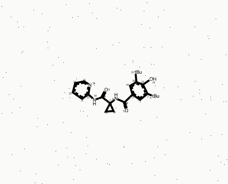 CC(C)(C)c1cc(C(=O)NC2(C(=O)Nc3ccccn3)CC2)cc(C(C)(C)C)c1O